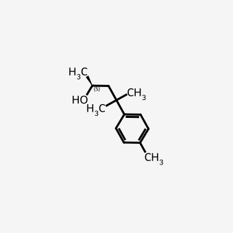 Cc1ccc(C(C)(C)C[C@H](C)O)cc1